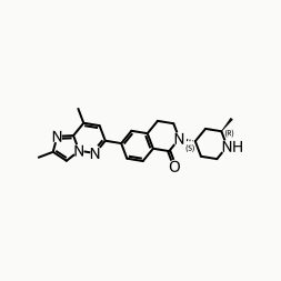 Cc1cn2nc(-c3ccc4c(c3)CCN([C@H]3CCN[C@H](C)C3)C4=O)cc(C)c2n1